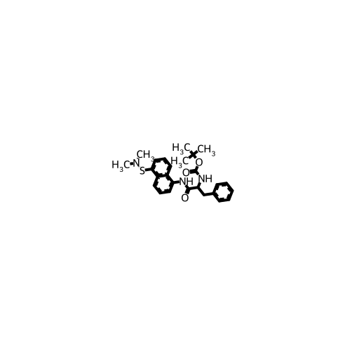 CN(C)Sc1cccc2c(NC(=O)C(Cc3ccccc3)NC(=O)OC(C)(C)C)cccc12